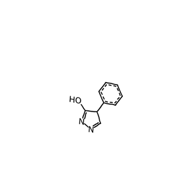 OC1=NN=CC1c1ccccc1